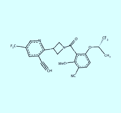 C#Cc1cc(C(F)(F)F)cnc1C1CN(C(=O)c2c(O[C@@H](C)C(F)(F)F)ccc(C#N)c2OC)C1